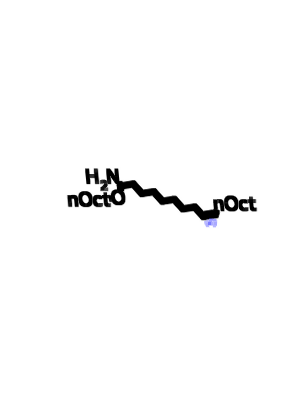 CCCCCCCC/C=C\CCCCCCCC(N)OCCCCCCCC